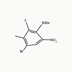 CNc1c([N+](=O)[O-])cc(Br)c(C)c1F